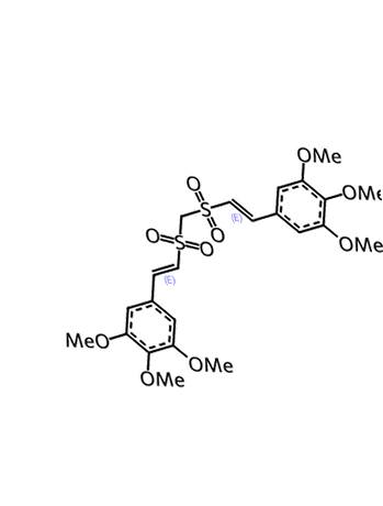 COc1cc(/C=C/S(=O)(=O)CS(=O)(=O)/C=C/c2cc(OC)c(OC)c(OC)c2)cc(OC)c1OC